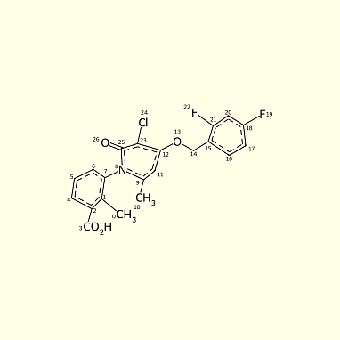 Cc1c(C(=O)O)cccc1-n1c(C)cc(OCc2ccc(F)cc2F)c(Cl)c1=O